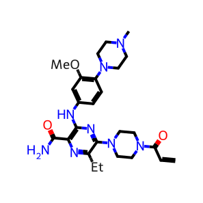 C=CC(=O)N1CCN(c2nc(Nc3ccc(N4CCN(C)CC4)c(OC)c3)c(C(N)=O)nc2CC)CC1